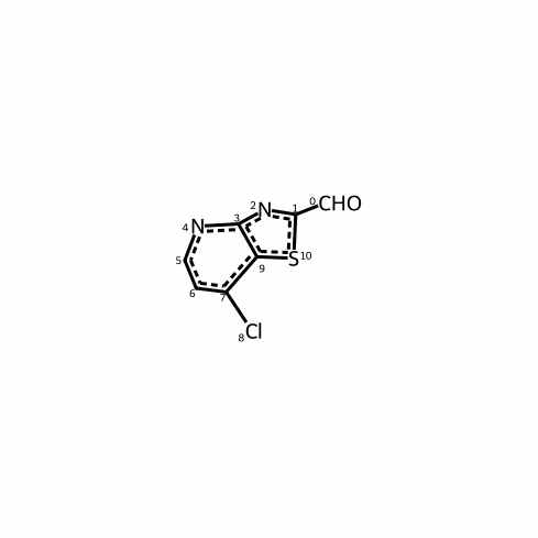 O=Cc1nc2nccc(Cl)c2s1